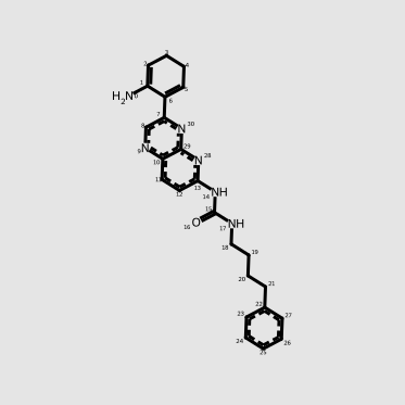 NC1=CCCC=C1c1cnc2ccc(NC(=O)NCCCCc3ccccc3)nc2n1